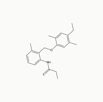 CCC(=S)Nc1cccc(C)c1COc1cc(C)c(CC)cc1C